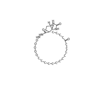 O=C1CCCCCCCCCCCCOOOOONNC(=O)[C@@]2(CCCC1)SC[C@@H]1NC(=O)N[C@@H]12